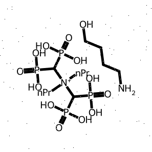 CCC[N+](CCC)(C(P(=O)(O)O)P(=O)(O)O)C(P(=O)(O)O)P(=O)(O)O.NCCCCO